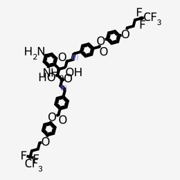 Nc1ccc(C(C(O)C(=O)/C=C/c2ccc(C(=O)Oc3ccc(OCCCC(F)(F)C(F)(F)F)cc3)cc2)C(O)C(=O)/C=C/c2ccc(C(=O)Oc3ccc(OCCCC(F)(F)C(F)(F)F)cc3)cc2)c(N)c1